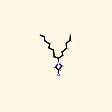 CCCCCCCC(CCCCCC)N1CC(N)C1